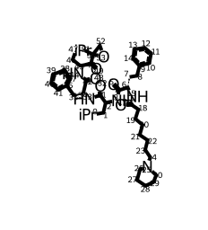 CC(C)CC(NC(=O)[C@H](CCc1ccccc1)NC(=O)CCCCCCCN1CCCCC1)C(=O)N[C@@H](Cc1ccccc1)C(=O)NC(CC(C)C)C(=O)C1(C)CO1